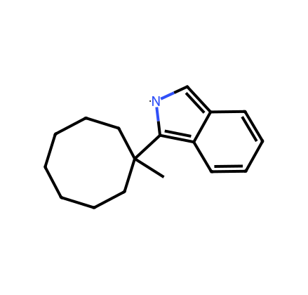 CC1(C2=c3ccccc3=C[N]2)CCCCCCC1